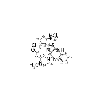 COCC[C@H]1CN(C2=Nc3ccccc3Nc3sc(C4CCCC4)nc32)CCN1C.Cl.Cl